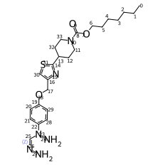 CCCCCCCOC(=O)N1CCC(c2nc(COc3ccc(N(N)/C=N\N)cc3)cs2)CC1